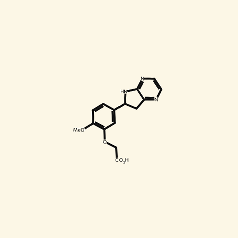 COc1ccc(C2Cc3nccnc3N2)cc1OCC(=O)O